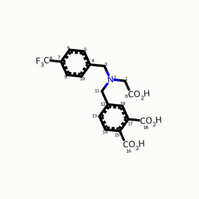 O=C(O)CN(Cc1ccc(C(F)(F)F)cc1)Cc1ccc(C(=O)O)c(C(=O)O)c1